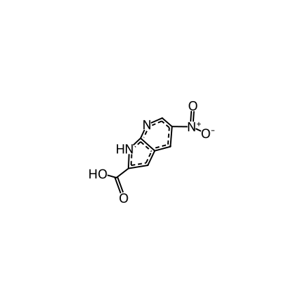 O=C(O)c1cc2cc([N+](=O)[O-])cnc2[nH]1